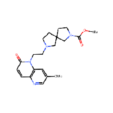 COc1cnc2ccc(=O)n(CCN3CCC4(CCN(C(=O)OC(C)(C)C)C4)C3)c2c1